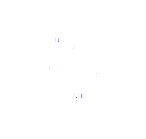 NC(=O)c1nnco1